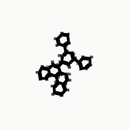 c1ccc(-c2nc(-c3ccccc3)nc(-c3nc4ccccc4c4c3ncc3ccccc34)n2)cc1